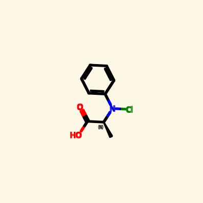 C[C@@H](C(=O)O)N(Cl)c1ccccc1